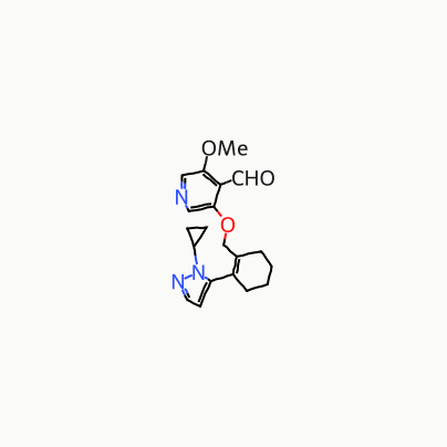 COc1cncc(OCC2=C(c3ccnn3C3CC3)CCCC2)c1C=O